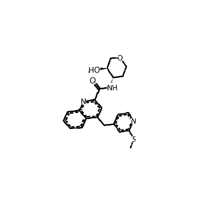 CSc1cc(Cc2cc(C(=O)N[C@H]3CCOC[C@@H]3O)nc3ccccc23)ccn1